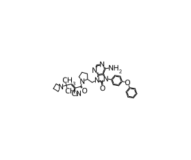 CC(C)(C=C(C#N)C(=O)N1CCCC1Cn1c(=O)n(-c2ccc(Oc3ccccc3)cc2)c2c(N)ncnc21)N1CCC1